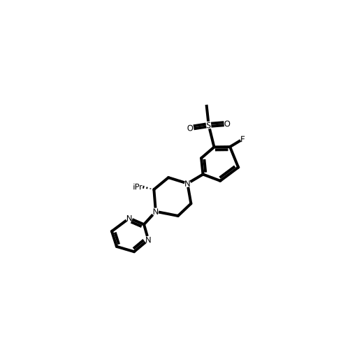 CC(C)[C@@H]1CN(c2ccc(F)c(S(C)(=O)=O)c2)CCN1c1ncccn1